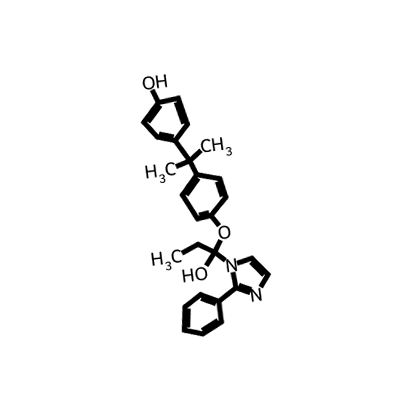 CCC(O)(Oc1ccc(C(C)(C)c2ccc(O)cc2)cc1)n1ccnc1-c1ccccc1